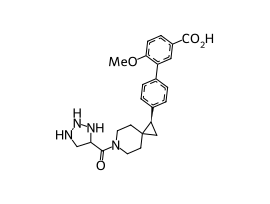 COc1ccc(C(=O)O)cc1-c1ccc([C@H]2CC23CCN(C(=O)C2CNNN2)CC3)cc1